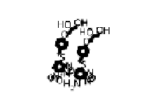 Nc1ccc(SCc2ccc(OCC(O)CO)cc2)c2nonc12.O=[N+]([O-])c1ccc(SCc2ccc(OCC(O)CO)cc2)c2nonc12